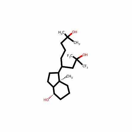 CC(C)(O)CCCC(CC(O)(C(F)(F)F)C(F)(F)F)C1CCC2[C@@H](O)CCC[C@]12C